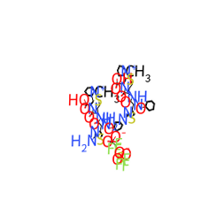 C[n+]1ccccc1C1=C(C(=O)O)N2C(=O)C(NC(=O)C(=NOc3ccccc3)c3csc(N)n3)C2CS1.C[n+]1ccccc1C1=C(C(=O)O)N2C(=O)C(NC(=O)C(=NOc3ccccc3)c3csc(N)n3)C2CS1.O=C([O-])C(F)(F)F.O=S(=O)([O-])C(F)(F)F